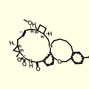 CO[C@H]1/C=C/C[C@@H]2C[C@@]2(C)S(=O)(=O)NC(=O)c2ccc3c(c2)N(CCCCc2cc(Cl)ccc2CO3)C[C@@H]2CC[C@H]21